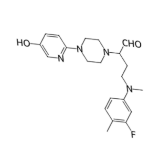 Cc1ccc(N(C)CCC(C=O)N2CCN(c3ccc(O)cn3)CC2)cc1F